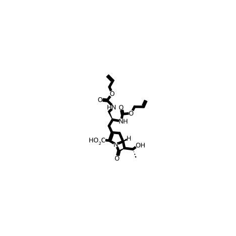 C=CCOC(=O)NC[C@H](CC1=C(C(=O)O)N2C(=O)[C@H]([C@@H](C)O)[C@H]2C1)NC(=O)OCC=C